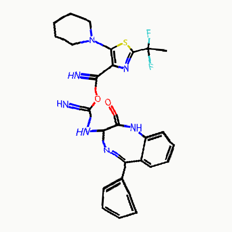 CC(F)(F)c1nc(C(=N)OC(=N)NC2N=C(c3ccccc3)c3ccccc3NC2=O)c(N2CCCCC2)s1